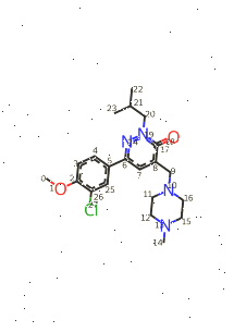 COc1ccc(-c2cc(CN3CCN(C)CC3)c(=O)n(CC(C)C)n2)cc1Cl